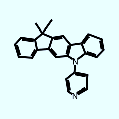 CC1(C)c2ccccc2-c2cc3c(cc21)c1ccccc1n3-c1ccncc1